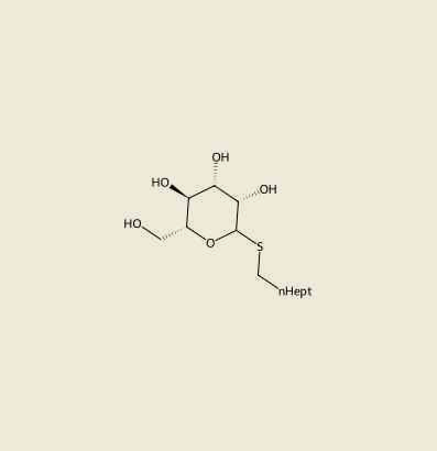 CCCCCCCCSC1O[C@H](CO)[C@@H](O)[C@H](O)[C@@H]1O